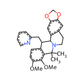 COc1ccc2c(c1OC)C(C)(C)N1CCc3cc4c(cc3C1C2Cc1ccccn1)OCO4